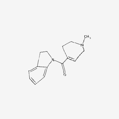 CN1CC=C(C(=O)N2CCc3ccccc32)CC1